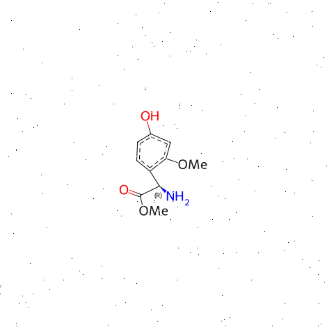 COC(=O)[C@H](N)c1ccc(O)cc1OC